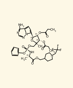 CCC(=O)O[C@H]1[C@H](c2ccc3c(N)ncnn23)O[C@](C)(COP(=O)(N[C@@H](C)C(=O)OCC2CCN(CC(F)(F)F)CC2)Oc2ccccc2)[C@H]1OC(=O)CC